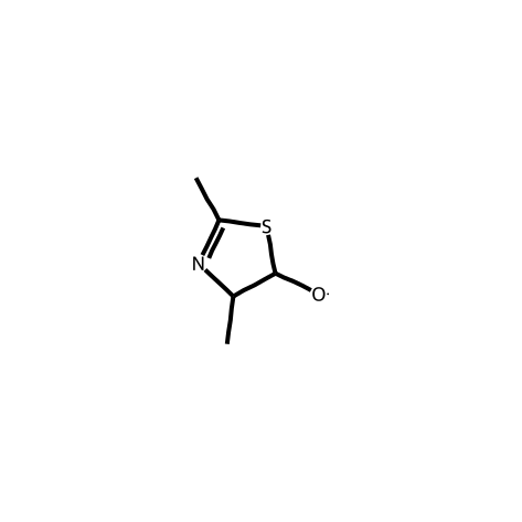 CC1=NC(C)C([O])S1